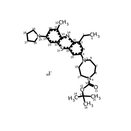 CCc1cc(N2CCCN(C(=O)OC(C)(C)C)CC2)cc2[s+]c3cc(N4CCCC4)cc(C)c3nc12.[I-]